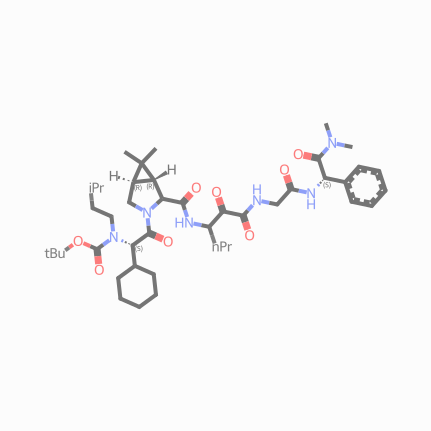 CCCC(NC(=O)C1[C@@H]2[C@@H](CN1C(=O)[C@H](C1CCCCC1)N(CCC(C)C)C(=O)OC(C)(C)C)C2(C)C)C(=O)C(=O)NCC(=O)N[C@H](C(=O)N(C)C)c1ccccc1